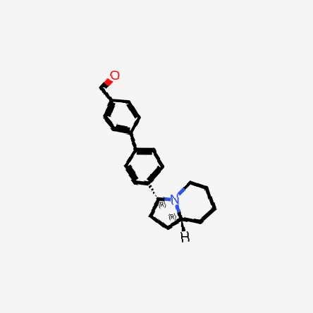 O=Cc1ccc(-c2ccc([C@H]3CC[C@H]4CCCCN43)cc2)cc1